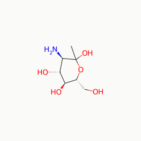 CC1(O)O[C@H](CO)[C@@H](O)[C@H](O)[C@H]1N